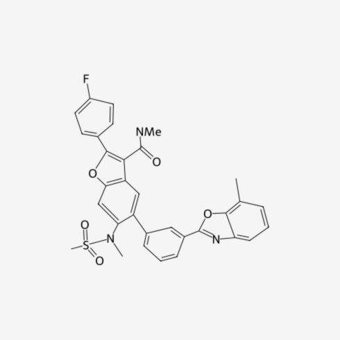 CNC(=O)c1c(-c2ccc(F)cc2)oc2cc(N(C)S(C)(=O)=O)c(-c3cccc(-c4nc5cccc(C)c5o4)c3)cc12